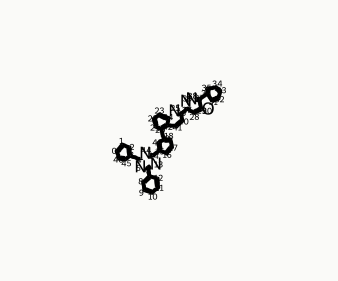 c1ccc(-c2nc(-c3ccccc3)nc(-c3cccc(-c4cccc5nc(-c6cc7oc8ccccc8c7nn6)ccc45)c3)n2)cc1